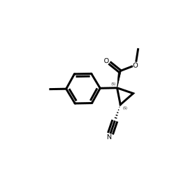 COC(=O)[C@@]1(c2ccc(C)cc2)C[C@@H]1C#N